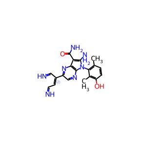 Cc1ccc(O)c(C)c1-n1c(N)c(C(N)=O)c2nc(/C(C=N)=C/C=N)cnc21